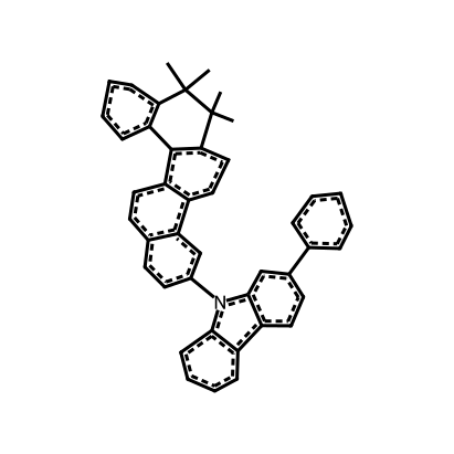 CC1(C)c2ccccc2-c2c(ccc3c2ccc2ccc(-n4c5ccccc5c5ccc(-c6ccccc6)cc54)cc23)C1(C)C